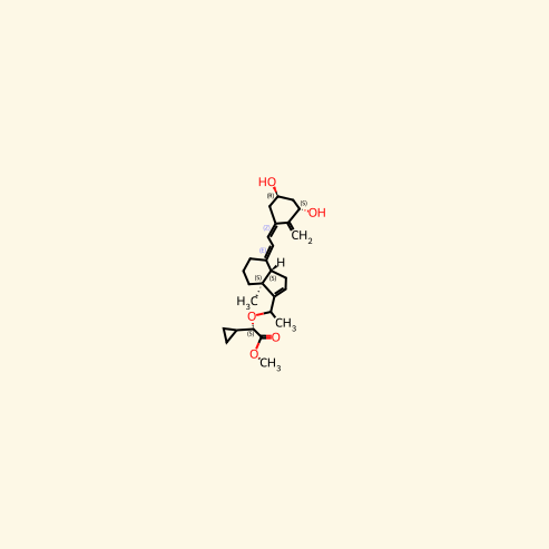 C=C1/C(=C\C=C2/CCC[C@]3(C)C(C(C)O[C@H](C(=O)OC)C4CC4)=CC[C@@H]23)C[C@@H](O)C[C@@H]1O